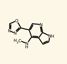 CNc1c(-c2nnco2)cnc2[nH]ccc12